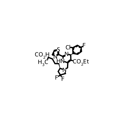 CCOC(=O)C1=C(CN2CC(F)(F)C[C@H]2CCCC(C)C(=O)O)NC(c2nccs2)=N[C@H]1c1ccc(F)cc1Cl